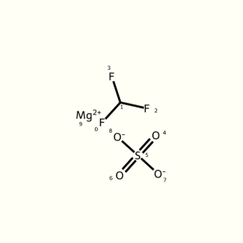 FC(F)F.O=S(=O)([O-])[O-].[Mg+2]